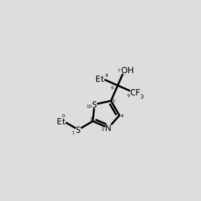 CCSc1ncc(C(O)(CC)C(F)(F)F)s1